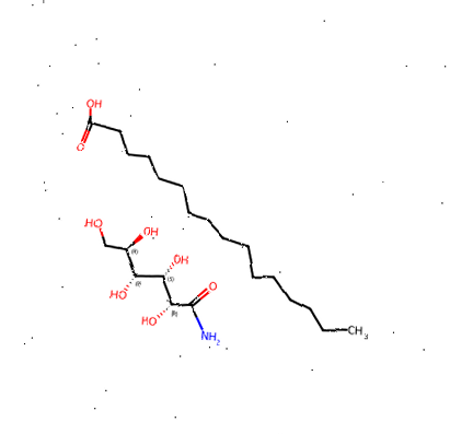 CCCCCCCCCCCCCCCC(=O)O.NC(=O)[C@H](O)[C@@H](O)[C@H](O)[C@H](O)CO